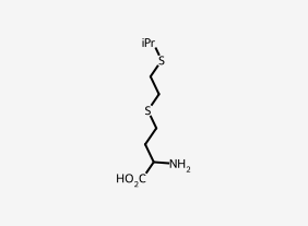 CC(C)SCCSCCC(N)C(=O)O